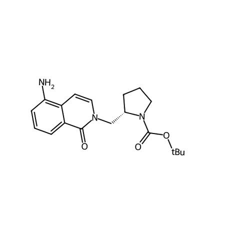 CC(C)(C)OC(=O)N1CCC[C@H]1Cn1ccc2c(N)cccc2c1=O